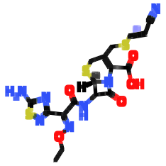 CCON=C(C(=O)NC1C(=O)N2C(C(=O)O)=C(CS/C=C/C#N)CS[C@@H]12)c1nsc(N)n1